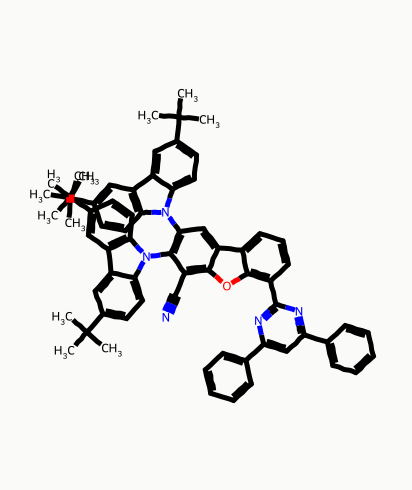 CC(C)(C)c1ccc2c(c1)c1cc(C(C)(C)C)ccc1n2-c1cc2c(oc3c(-c4nc(-c5ccccc5)cc(-c5ccccc5)n4)cccc32)c(C#N)c1-n1c2ccc(C(C)(C)C)cc2c2cc(C(C)(C)C)ccc21